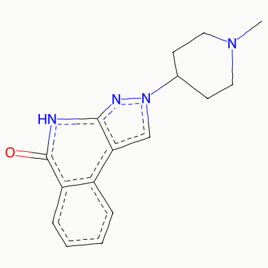 CN1CCC(n2cc3c(n2)[nH]c(=O)c2ccccc23)CC1